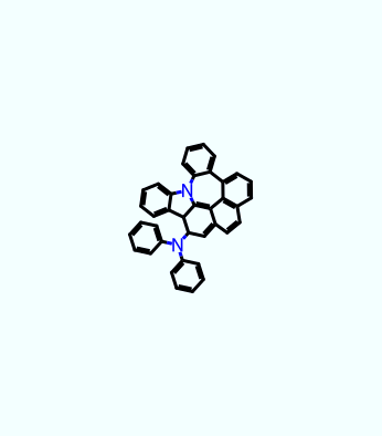 C1=c2ccc3cccc4c5ccccc5n5c(c2c34)C(c2ccccc2-5)C1N(c1ccccc1)c1ccccc1